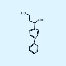 O=CC(CCO)c1ccc(-c2ccccc2)cc1